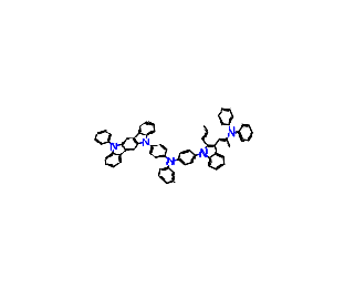 C/C=C/c1c(/C=C(\C)N(c2ccccc2)c2ccccc2)c2ccccc2n1-c1ccc(N(c2ccccc2)c2ccc(-n3c4ccccc4c4cc5c(cc43)c3ccccc3n5-c3ccccc3)cc2)cc1